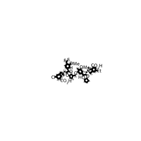 CCc1cc(C(=O)O)c2nn(C[C@H](OC3CCCC3)[C@H](O)c3cc(OC)c(C)c(OCC4CCC(O[C@@H](Cn5cc6cc(Cl)cc(C(=O)O)c6n5)[C@H](O)c5ccc(C(F)F)c(OC)c5)C4)c3)cc2c1